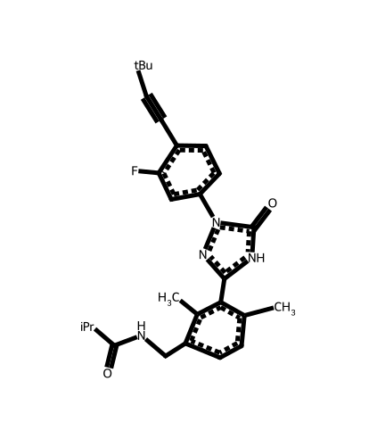 Cc1ccc(CNC(=O)C(C)C)c(C)c1-c1nn(-c2ccc(C#CC(C)(C)C)c(F)c2)c(=O)[nH]1